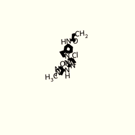 C=CC(=O)Nc1ccc2c(ccn2-c2nc(Nc3cn(C)nc3OC)ncc2Cl)c1